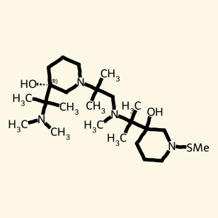 CSN1CCCC(O)(C(C)(C)N(C)CC(C)(C)N2CCC[C@](O)(C(C)(C)N(C)C)C2)C1